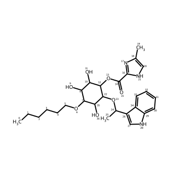 CCCCCCOC1C(O)C(O)C(OC(=O)c2nc(C)c[nH]2)C(OC(C)c2c[nH]c3ccccc23)C1O